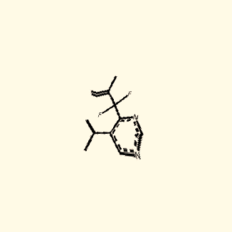 C=C(C)C(F)(F)c1ncncc1C(C)C